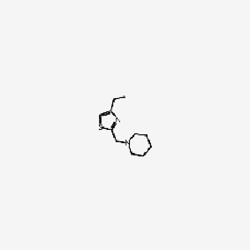 ICc1csc(CN2CCCCC2)n1